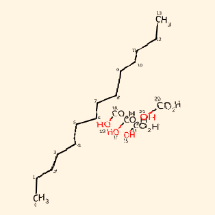 CCCCCCCCCCCCCC.O=C(O)O.O=C(O)O.O=C(O)O.O=C(O)O